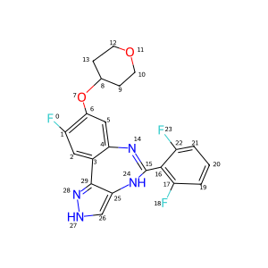 Fc1cc2c(cc1OC1CCOCC1)N=C(c1c(F)cccc1F)Nc1c[nH]nc1-2